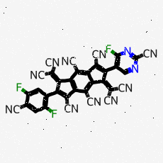 N#CC(C#N)=C1C(c2cc(F)c(C#N)cc2F)=C(C#N)c2c(C#N)c3c(c(C#N)c21)C(C#N)=C(c1cnc(C#N)nc1F)C3=C(C#N)C#N